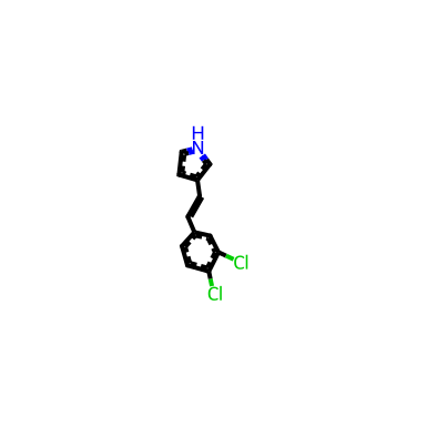 Clc1ccc(C=Cc2cc[nH]c2)cc1Cl